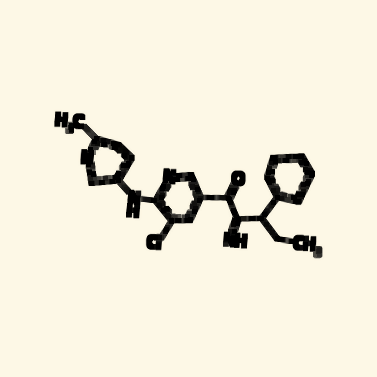 CCC(C(=N)C(=O)c1cnc(Nc2ccc(C)nc2)c(Cl)c1)c1ccccc1